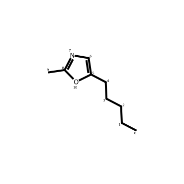 CCCCCc1cnc(C)o1